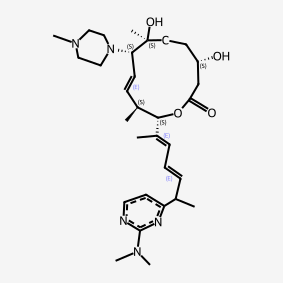 C/C(=C\C=C\C(C)c1ccnc(N(C)C)n1)[C@H]1OC(=O)C[C@@H](O)CC[C@](C)(O)[C@@H](N2CCN(C)CC2)/C=C/[C@@H]1C